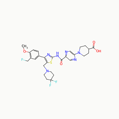 COc1ccc(-c2nc(NC(=O)c3cnc(N4CCC(C(=O)O)CC4)cn3)sc2CN2CCC(F)(F)CC2)cc1CF